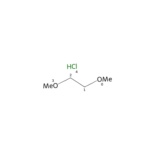 COCCOC.Cl